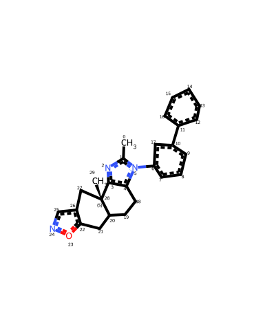 Cc1nc2c(n1-c1cccc(-c3ccccc3)c1)CCC1Cc3oncc3C[C@]21C